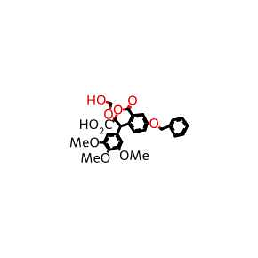 COc1cc(C2c3ccc(OCc4ccccc4)cc3C(=O)OC2(OCO)C(=O)O)cc(OC)c1OC